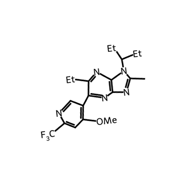 CCc1nc2c(nc1-c1cnc(C(F)(F)F)cc1OC)nc(C)n2C(CC)CC